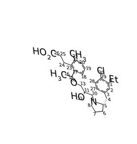 CCc1cc(C[C@@H]2CCCN2C[C@@H](O)COC(C)c2cccc(C)c2CCC(=O)O)ccc1Cl